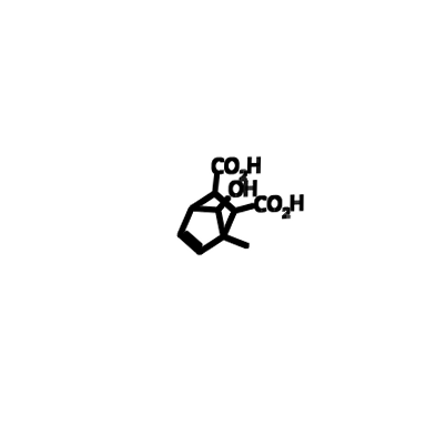 CC12C=CC(C(C(=O)O)C1C(=O)O)C2O